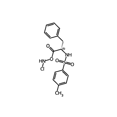 Cc1ccc(S(=O)(=O)N[C@@H](Cc2ccccc2)C(=O)ONCl)cc1